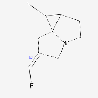 CC1C2CCN3C/C(=C\F)CC123